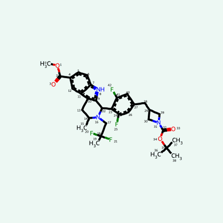 COC(=O)c1ccc2[nH]c3c(c2c1)CC(C)N(CC(C)(F)F)C3c1c(F)cc(CC2CN(C(=O)OC(C)(C)C)C2)cc1F